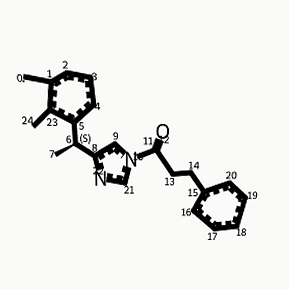 [CH2]c1cccc([C@H](C)c2cn(C(=O)CCc3ccccc3)cn2)c1C